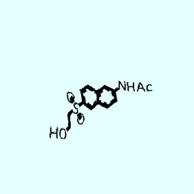 CC(=O)Nc1ccc2cc(S(=O)(=O)CCO)ccc2c1